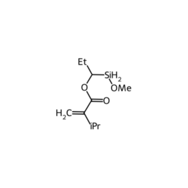 C=C(C(=O)OC(CC)[SiH2]OC)C(C)C